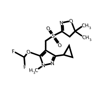 Cn1nc(C2CC2)c(CS(=O)(=O)C2=NOC(C)(C)C2)c1OC(F)F